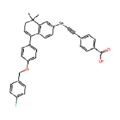 CC1(C)CC=C(c2ccc(OCc3ccc(F)cc3)cc2)c2ccc([Se]C#Cc3ccc(C(=O)O)cc3)cc21